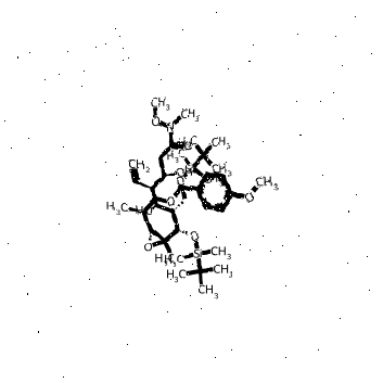 C=C[C@H]([C@@H](O)[C@H](CO[Si](C)(C)C(C)(C)C)[C@H](O[Si](C)(C)C(C)(C)C)C1(C)O[C@@H]1[C@@H](C)COCc1ccc(OC)cc1)[C@H](O)CC(=O)N(C)OC